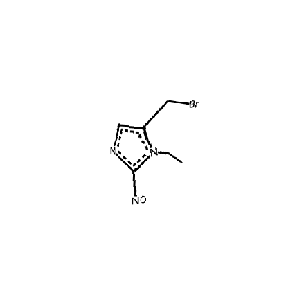 Cn1c(CBr)cnc1N=O